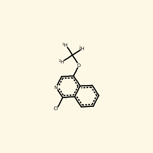 [2H]C([2H])([2H])Oc1cnc(Cl)c2ccccc12